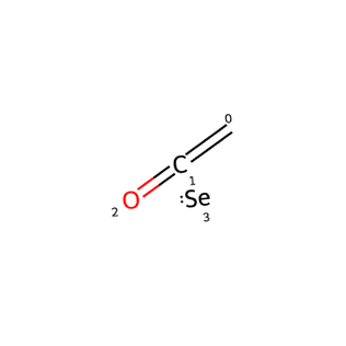 C=C=O.[Se]